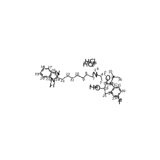 CO[C@]1(CCN(C)CCCCCCCc2nc3ccccc3[nH]2)C(O)Cc2cc(F)ccc2[C@@H]1C(C)C.Cl.Cl